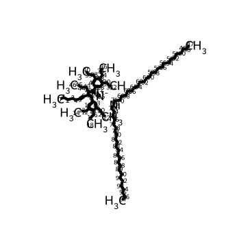 CCCCCC#CC1=C(c2cc(CCC)c(CCC)c(CCC)c2)[N+](=[N-])C(c2cc(CCC)c(CCC)c(CCC)c2)=C1CCCC.CCCCCCCCCCCCCCCCCCCCCCCC[CH2][Ni][CH2]CCCCCCCCCCCCCCCCCCCCCCCC